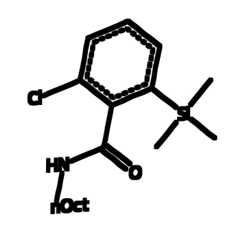 CCCCCCCCNC(=O)c1c(Cl)cccc1[Si](C)(C)C